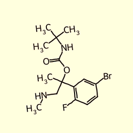 CNCC(C)(OC(=O)NC(C)(C)C)c1cc(Br)ccc1F